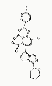 O=c1oc(-c2ccc(F)nc2)nc2c(Br)cc(-c3cccc4c3cnn4C3CCCCO3)c([N+](=O)[O-])c12